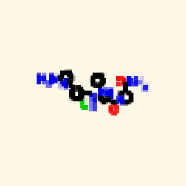 NC(=O)C1CCCN(C(=O)c2cc(NCc3cc(-c4cccc(N)n4)ccc3Cl)n(-c3ccccc3)n2)C1